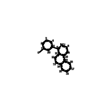 Cc1cccc(-c2nccc3c2ccc2ccccc23)c1